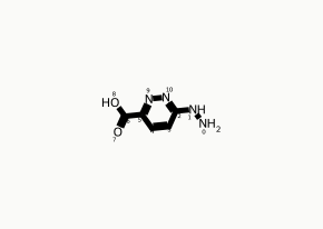 NNc1ccc(C(=O)O)nn1